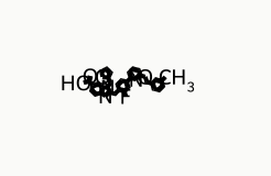 Cc1cccc(COc2cccc(-c3ccc(Cc4nc5ccc(C(=O)O)cc5n4CC4CCCO4)c(F)c3)n2)c1